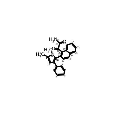 Cc1cc(-c2ccccc2)c(-c2ccc3ccccc3c2C(=O)C(N)=O)n1C